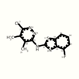 Cc1c(Cl)nnc(Nc2nc3c(F)cccc3s2)c1C